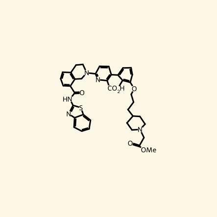 COC(=O)CN1CCC(CCCOc2cccc(-c3ccc(N4CCc5cccc(C(=O)Nc6nc7ccccc7s6)c5C4)nc3C(=O)O)c2C)CC1